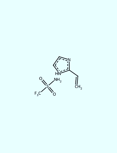 C=Cc1ncc[nH]1.NS(=O)(=O)C(F)(F)F